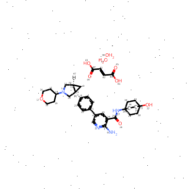 Nc1ncc(-c2ccc([C@@]34C[C@@H]3CN(C3CCOCC3)C4)cc2)cc1C(=O)NC12CCC(O)(CC1)CC2.O.O.O=C(O)/C=C/C(=O)O